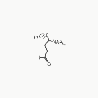 NC(CCC(=O)I)C(=O)O